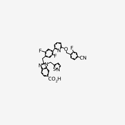 N#Cc1ccc(COc2cccc(-c3cc(F)c(Cc4nc5ccc(C(=O)O)cc5n4Cc4ccns4)cc3F)n2)c(F)c1